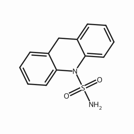 NS(=O)(=O)N1c2ccccc2Cc2ccccc21